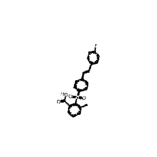 Cc1cccc(C(=O)O)c1S(=O)(=O)c1ccc(C=Cc2ccc(F)cc2)cc1